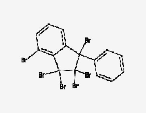 Brc1cccc2c1C(Br)(Br)C(Br)(Br)C2(Br)c1ccccc1